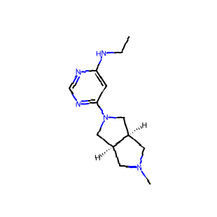 CCNc1cc(N2C[C@H]3CN(C)C[C@H]3C2)ncn1